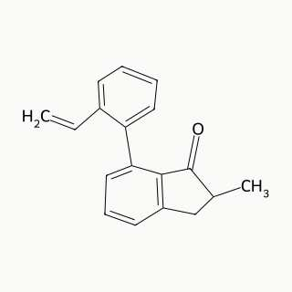 C=Cc1ccccc1-c1cccc2c1C(=O)C(C)C2